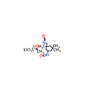 C=C(O)C(=O)OCC.CC1(C)CC(N=C=O)CC(C)(CN=C=O)C1